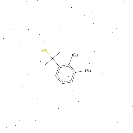 CC(C)(C)c1cccc(C(C)(C)S)c1C(C)(C)C